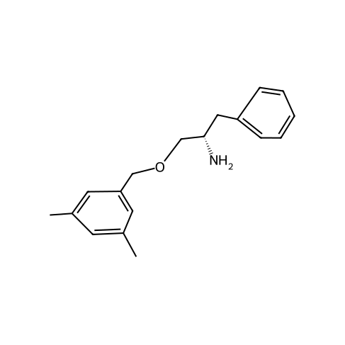 Cc1cc(C)cc(COC[C@@H](N)Cc2ccccc2)c1